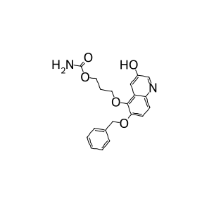 NC(=O)OCCCOc1c(OCc2ccccc2)ccc2ncc(O)cc12